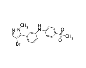 Cn1ncc(Br)c1-c1cccc(Nc2ccc(S(C)(=O)=O)cc2)c1